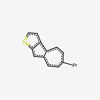 CC(C)c1ccc2cc3sccc3c-2cc1